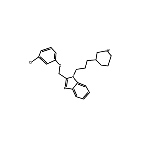 Clc1cccc(OCc2nc3ccccc3n2CCCC2CCCNC2)c1